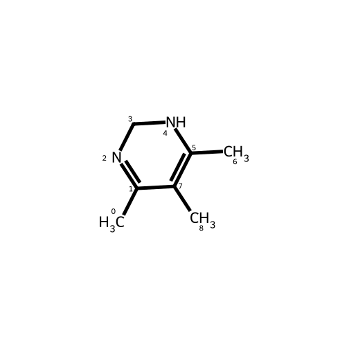 CC1=NCNC(C)=C1C